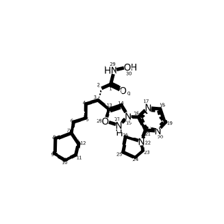 O=C(C[C@@H](CCCC1CCCCC1)C1=CN(c2nccnc2N2CCCC2)NO1)NO